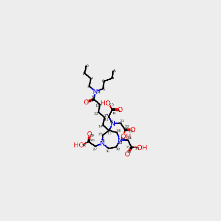 CCCCN(CCCC)C(=O)CCCCC1(N(CC(=O)O)CC(=O)O)CN(CC(=O)O)CCN(CC(=O)O)C1